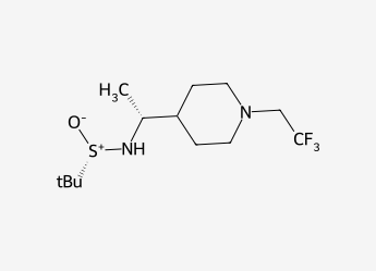 C[C@@H](N[S@@+]([O-])C(C)(C)C)C1CCN(CC(F)(F)F)CC1